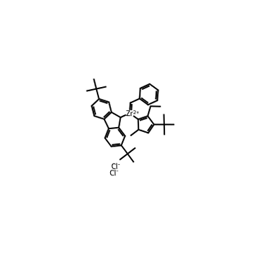 CCC1=[C](/[Zr+2](=[CH]\c2ccccc2)[CH]2c3cc(C(C)(C)C)ccc3-c3ccc(C(C)(C)C)cc32)C(C)C=C1C(C)(C)C.[Cl-].[Cl-]